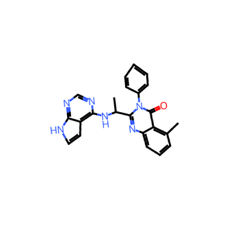 Cc1cccc2nc(C(C)Nc3ncnc4[nH]ccc34)n(-c3ccccc3)c(=O)c12